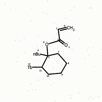 C=CC(=O)OC1(CCCC)CCCC[CH]1[Tb]